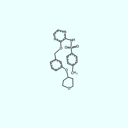 Cc1ccc(S(=O)(=O)Nc2nccnc2OCc2cccc(OC3CCOCC3)c2)cc1